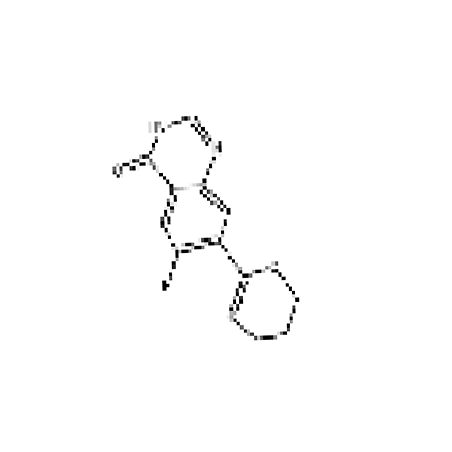 O=c1[nH]cnc2cc(C3=CCCCO3)c(F)cc12